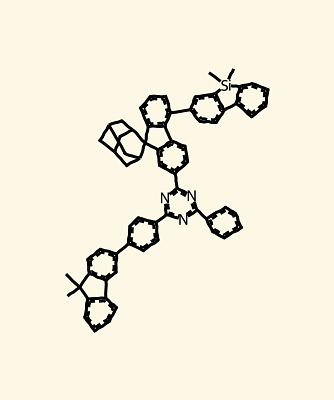 CC1(C)c2ccccc2-c2cc(-c3ccc(-c4nc(-c5ccccc5)nc(-c5ccc6c(c5)C5(c7cccc(-c8ccc9c(c8)[Si](C)(C)c8ccccc8-9)c7-6)C6CC7CC(C6)CC5C7)n4)cc3)ccc21